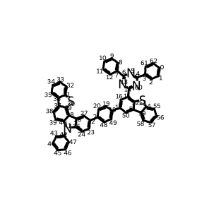 c1ccc(-c2nc(-c3ccccc3)nc(-c3cc(-c4ccc(-c5ccc6c(c5)c5c7sc8ccccc8c7ccc5n6-c5ccccc5)cc4)cc4c3sc3ccccc34)n2)cc1